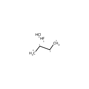 CCCC.Cl.F